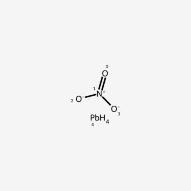 O=[N+]([O-])[O-].[PbH4]